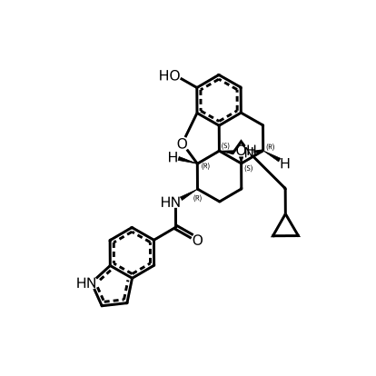 O=C(N[C@@H]1CC[C@@]2(O)[C@H]3Cc4ccc(O)c5c4[C@@]2(CCN3CC2CC2)[C@H]1O5)c1ccc2[nH]ccc2c1